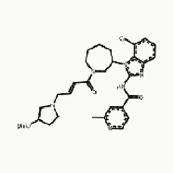 COC1CCN(CC=CC(=O)N2CCCCC(n3c(NC(=O)c4ccnc(C)c4)nc4cccc(Cl)c43)C2)C1